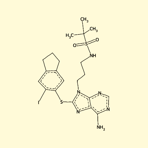 CC(C)(C)S(=O)(=O)NCCCn1c(Sc2cc3c(cc2I)CCC3)nc2c(N)ncnc21